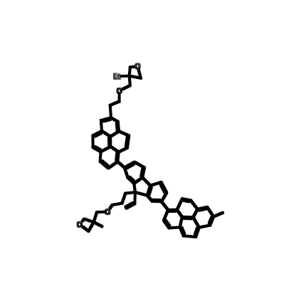 C=CC1(CCCOCC2(C)COC2)c2cc(-c3ccc4ccc5cc(C)cc6ccc3c4c56)ccc2-c2ccc(-c3ccc4ccc5cc(CCOCC6(CC)COC6)cc6ccc3c4c56)cc21